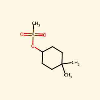 CC1(C)CCC(OS(C)(=O)=O)CC1